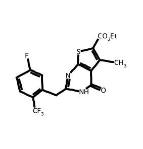 CCOC(=O)c1sc2nc(Cc3cc(F)ccc3C(F)(F)F)[nH]c(=O)c2c1C